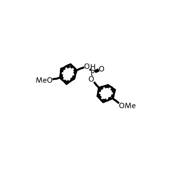 COc1ccc(O[PH](=O)Oc2ccc(OC)cc2)cc1